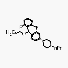 C=CCOC(c1ccc([C@H]2CC[C@H](CCC)CC2)cc1)c1c(F)cccc1F